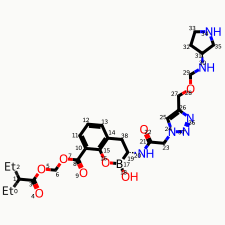 CCC(CC)C(=O)OCOC(=O)c1cccc2c1OB(O)[C@@H](NC(=O)Cn1cc(COCN[C@H]3CCNC3)nn1)C2